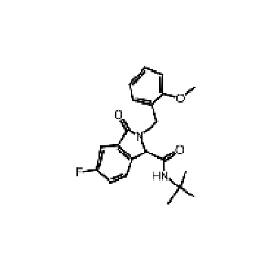 COc1ccccc1CN1C(=O)c2cc(F)ccc2C1C(=O)NC(C)(C)C